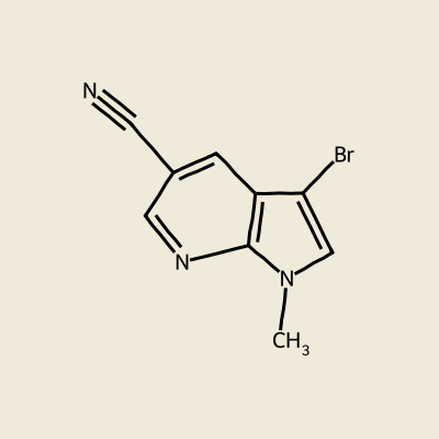 Cn1cc(Br)c2cc(C#N)cnc21